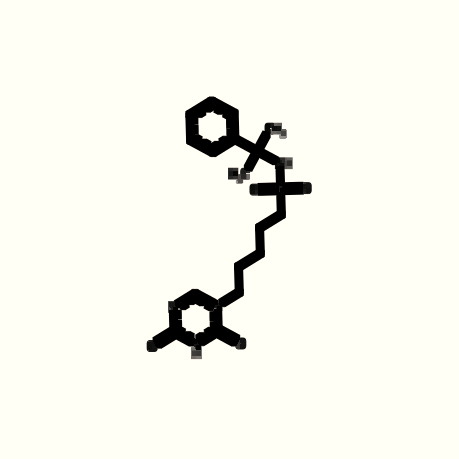 CC(C)(NS(=O)(=O)CCCCCn1cnc(=O)[nH]c1=O)c1ccccc1